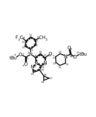 Cc1cc(N(C(=O)OC(C)(C)C)c2cc(O[C@H]3CCCN(C(=O)OC(C)(C)C)C3)nc3c(C4CC4)cnn23)cc(C(F)(F)F)c1